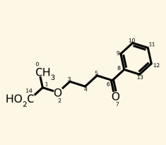 CC(OCCCC(=O)c1ccccc1)C(=O)O